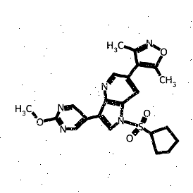 COc1ncc(-c2cn(S(=O)(=O)C3CCCC3)c3cc(-c4c(C)noc4C)cnc23)cn1